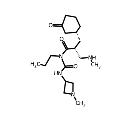 CCCN(C(=O)NC1CN(C)C1)C(=O)[C@@H](CNC)C[C@H]1CCCC(=O)C1